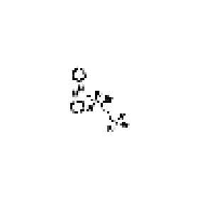 BrC(CCCC(Br)(Br)Br)C(Br)(Br)Oc1ccccc1N=Nc1ccccc1